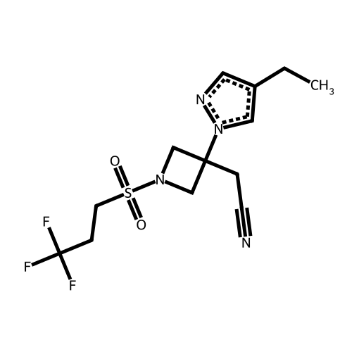 CCc1cnn(C2(CC#N)CN(S(=O)(=O)CCC(F)(F)F)C2)c1